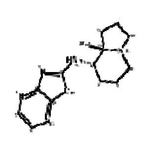 c1cnc2nc(N[C@H]3CCCN4CCC[C@@H]34)oc2c1